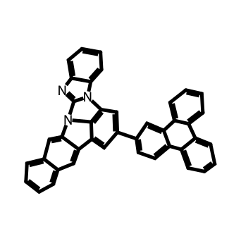 c1ccc2cc3c(cc2c1)c1cc(-c2ccc4c5ccccc5c5ccccc5c4c2)cc2c1n3c1nc3ccccc3n21